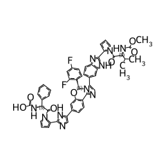 COC(=O)N[C@H](C(=O)n1cccc1-c1nc2ccc(-c3cnc4n3[C@H](c3ccc(F)cc3F)Oc3cc(-c5cnc(-c6cccn6C(=O)[C@@H](NC(=O)O)c6ccccc6)[nH]5)ccc3-4)cc2[nH]1)C(C)C